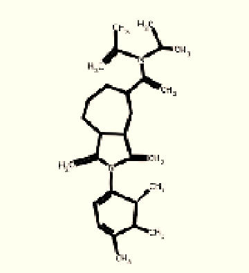 C=C1C2CCCC(C(=C)N(C(=C)C)C(C)C)CC2C(=C)N1C1=CC=C(C)C(C)[C@@H]1C